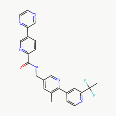 Cc1cc(CNC(=O)c2ccc(-c3cnccn3)cn2)cnc1-c1ccnc(C(C)(F)F)c1